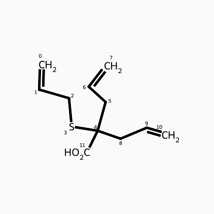 C=CCSC(CC=C)(CC=C)C(=O)O